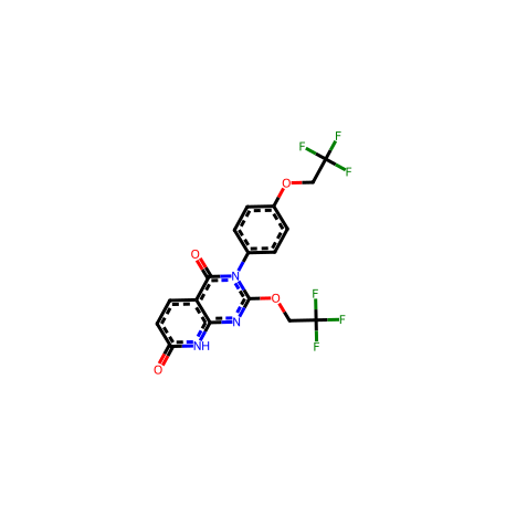 O=c1ccc2c(=O)n(-c3ccc(OCC(F)(F)F)cc3)c(OCC(F)(F)F)nc2[nH]1